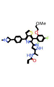 C=CC(=O)NC(C)c1cc(-c2nc(-c3ccc(C4CN(C)C4)cc3)c3ccsc3c2-c2c(F)cc(F)cc2OCCOC)n[nH]1